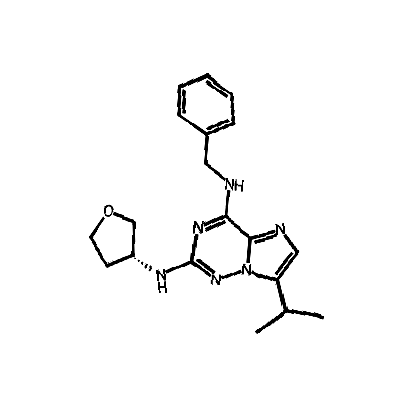 CC(C)c1cnc2c(NCc3ccccc3)nc(N[C@@H]3CCOC3)nn12